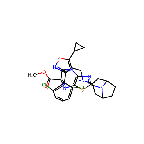 COC(=O)c1cnc2nc(N3C4CCC3CC(NCc3c(-c5c(Cl)cccc5Cl)noc3C3CC3)C4)sc2n1